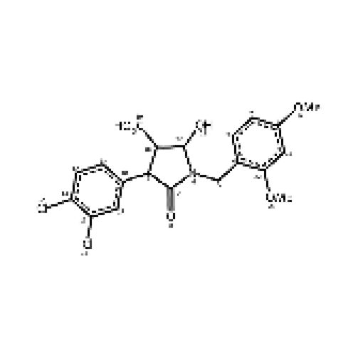 COc1ccc(CN2C(=O)C(c3ccc(Cl)c(Cl)c3)C(C(=O)O)C2O)c(OC)c1